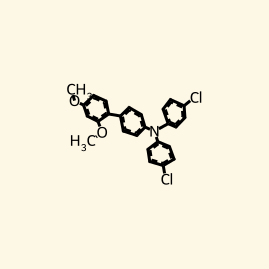 COc1ccc(-c2ccc(N(c3ccc(Cl)cc3)c3ccc(Cl)cc3)cc2)c(OC)c1